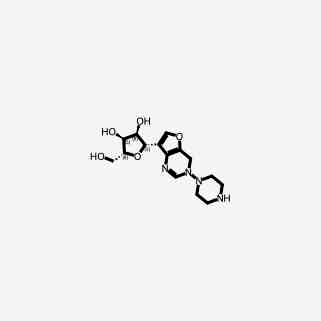 OC[C@H]1O[C@@H](c2coc3c2N=CN(N2CCNCC2)C3)[C@H](O)[C@@H]1O